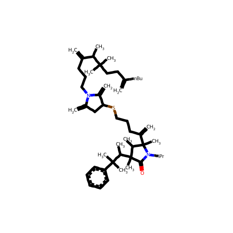 C=C(CCCC)CCC(C)(C)C(C)C(=C)CCCN1C(=C)CC(SCCCC(=C)C2(C)C(C)C(C)(C(C)C(C)(C)c3ccccc3)C(=O)N2C(C)C)C1=C